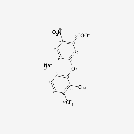 O=C([O-])c1cc(Oc2cccc(C(F)(F)F)c2Cl)ccc1[N+](=O)[O-].[Na+]